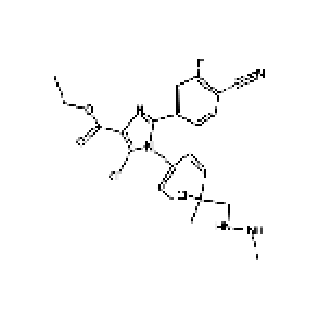 C/C=C(\C=C/C(C)(Cl)CNNC)n1c(-c2ccc(C#N)c(F)c2)nc(C(=O)OCC)c1Cl